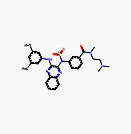 COc1cc(Nc2nc3ccccc3nc2N(c2cccc(C(=O)N(C)CCN(C)C)c2)[SH](=O)=O)cc(OC)c1